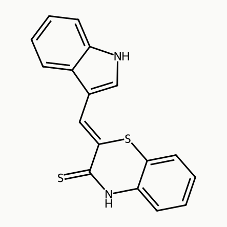 S=C1Nc2ccccc2SC1=Cc1c[nH]c2ccccc12